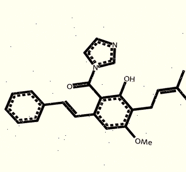 COc1cc(/C=C/c2ccccc2)c(C(=O)n2ccnc2)c(O)c1CC=C(C)C